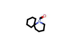 O=[C]N1CCCCC12CCCCC2